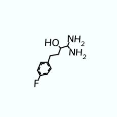 NC(N)C(O)CCc1ccc(F)cc1